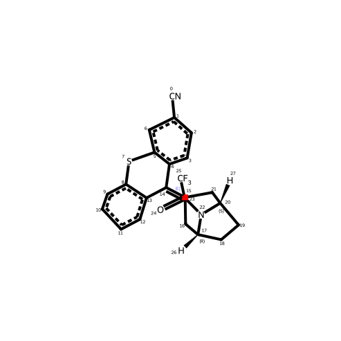 N#Cc1ccc2c(c1)Sc1ccccc1/C2=C1\C[C@H]2CC[C@@H](C1)N2C(=O)C(F)(F)F